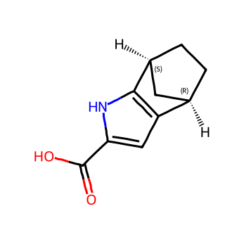 O=C(O)c1cc2c([nH]1)[C@H]1CC[C@@H]2C1